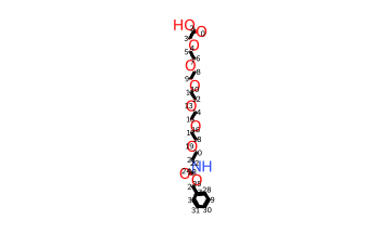 O=C(O)COCCOCCOCCOCCOCCOCCNC(=O)OCc1ccccc1